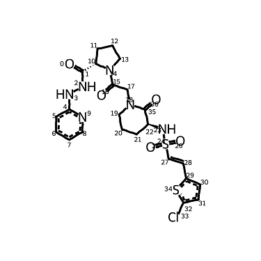 O=C(NNc1ccccn1)[C@@H]1CCCN1C(=O)CN1CCC[C@H](NS(=O)(=O)/C=C/c2ccc(Cl)s2)C1=O